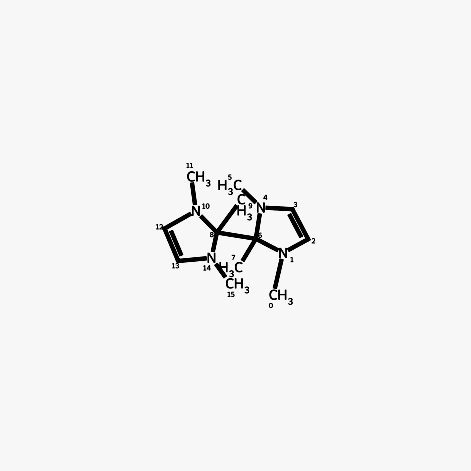 CN1C=CN(C)C1(C)C1(C)N(C)C=CN1C